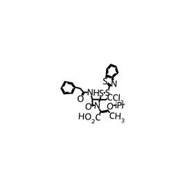 CC(OC(C)C)=C(C(=O)O)N1C(=O)C(NC(=O)Cc2ccccc2)C1(CC(Cl)(Cl)Cl)SSc1nc2ccccc2s1